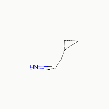 N=CC1CC1